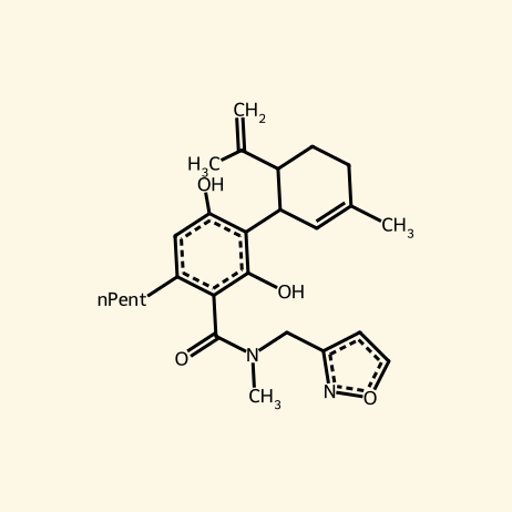 C=C(C)C1CCC(C)=CC1c1c(O)cc(CCCCC)c(C(=O)N(C)Cc2ccon2)c1O